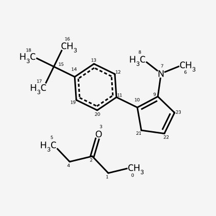 CCC(=O)CC.CN(C)C1=C(c2ccc(C(C)(C)C)cc2)CC=C1